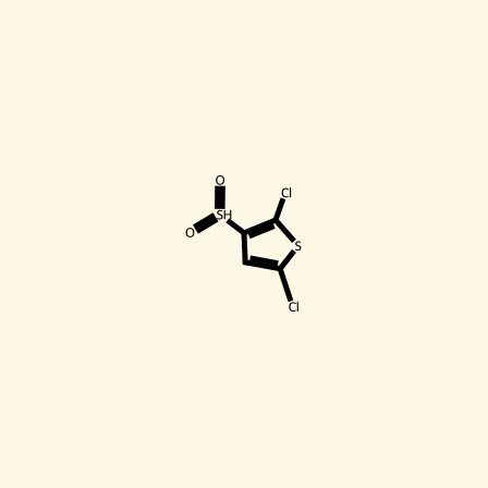 O=[SH](=O)c1cc(Cl)sc1Cl